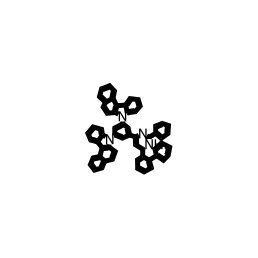 N/C(=N\C(=C/Cc1ccccc1-c1ccccc1)c1cc(-n2c3ccccc3c3c4ccccc4ccc32)cc(-n2c3ccccc3c3c4ccccc4ccc32)c1)c1ccccc1